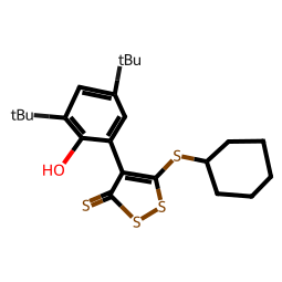 CC(C)(C)c1cc(-c2c(SC3CCCCC3)ssc2=S)c(O)c(C(C)(C)C)c1